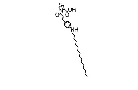 CCCCCCCCCCCCCCCCNc1ccc(/C=C/C(=O)N2CSCC2C(=O)O)cc1